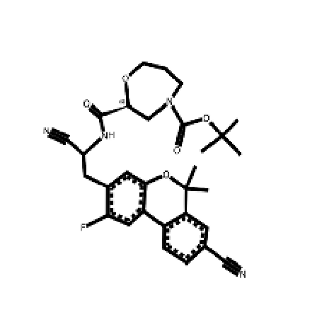 CC(C)(C)OC(=O)N1CCCO[C@H](C(=O)NC(C#N)Cc2cc3c(cc2F)-c2ccc(C#N)cc2C(C)(C)O3)C1